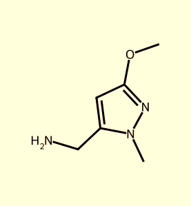 COc1cc(CN)n(C)n1